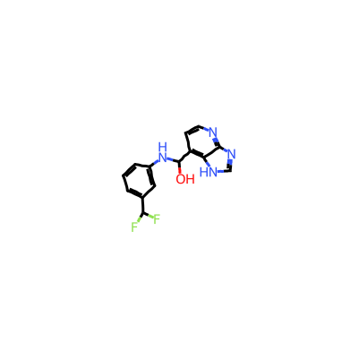 OC(Nc1cccc(C(F)F)c1)c1ccnc2nc[nH]c12